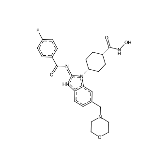 O=C(/N=c1\[nH]c2ccc(CN3CCOCC3)cc2n1[C@H]1CC[C@@H](C(=O)NO)CC1)c1ccc(F)cc1